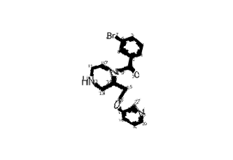 O=C(c1cccc(Br)c1)N1CCNCC1COc1cccnc1